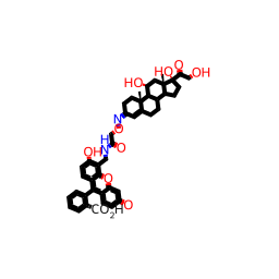 C[C@]12CC/C(=N/OCC(=O)NCc3c(O)ccc4c(-c5ccccc5C(=O)O)c5ccc(=O)cc-5oc34)C=C1CCC1C2[C@@H](O)C[C@@]2(C)C1CC[C@]2(O)C(=O)CO